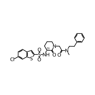 CN(CCc1ccccc1)C(=O)CN1CCC[C@H](NS(=O)(=O)c2cc3ccc(Cl)cc3s2)C1=O